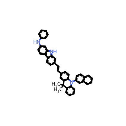 CC1(C)c2ccccc2N(c2ccc3ccccc3c2)c2ccc(/C=C/c3ccc4c(c3)[nH]c3cc(Nc5ccccc5)ccc34)cc21